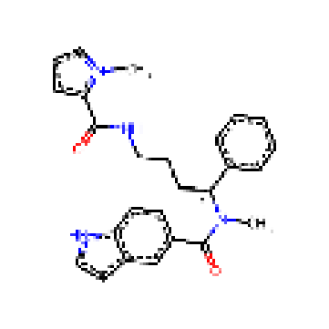 CN(C(=O)c1ccc2[nH]ccc2c1)[C@@H](CCCNC(=O)c1cccn1C)c1ccccc1